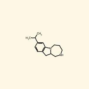 CC(C)c1ccc2c(c1)N1CCCNCC1C2